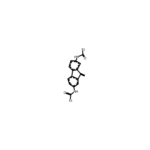 C=C1c2cc(NC(=O)CC)ccc2-c2ccc(NC(=O)CC)cc21